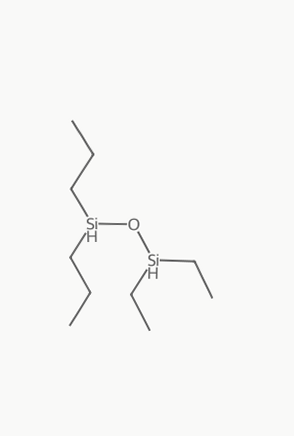 CCC[SiH](CCC)O[SiH](CC)CC